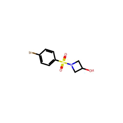 O=S(=O)(c1ccc(Br)cc1)N1CC(O)C1